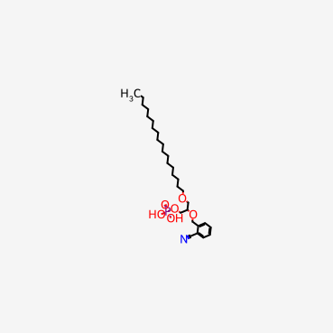 CCCCCCCCCCCCCCCCCCOCC(COP(=O)(O)O)OCc1ccccc1C#N